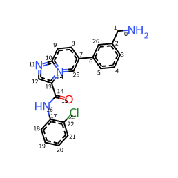 NCc1cccc(-c2ccc3ncc(C(=O)Nc4ccccc4Cl)n3c2)c1